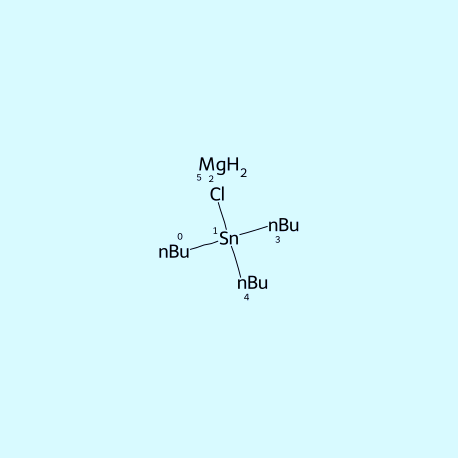 CCC[CH2][Sn]([Cl])([CH2]CCC)[CH2]CCC.[MgH2]